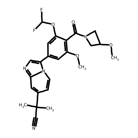 COc1cc(-c2cnc3cc(C(C)(C)C#N)ccn23)cc(OC(F)F)c1C(=O)N1CC(OC)C1